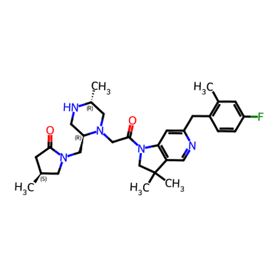 Cc1cc(F)ccc1Cc1cc2c(cn1)C(C)(C)CN2C(=O)CN1C[C@@H](C)NC[C@@H]1CN1C[C@@H](C)CC1=O